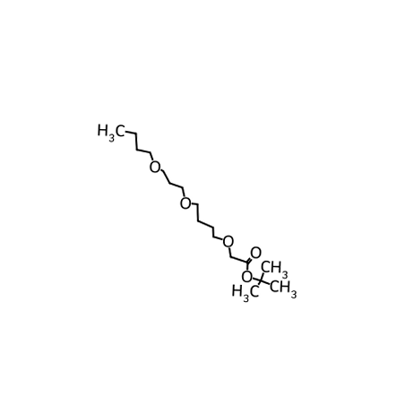 CCCCOCCCOCCCCOCC(=O)OC(C)(C)C